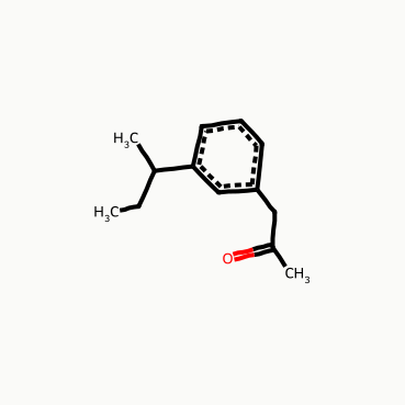 CCC(C)c1cccc(CC(C)=O)c1